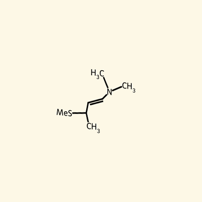 CSC(C)C=CN(C)C